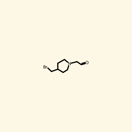 O=CCN1CCC(CBr)CC1